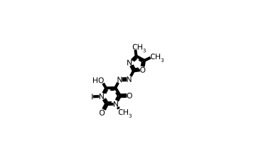 Cc1nc(N=Nc2c(O)n(I)c(=O)n(C)c2=O)oc1C